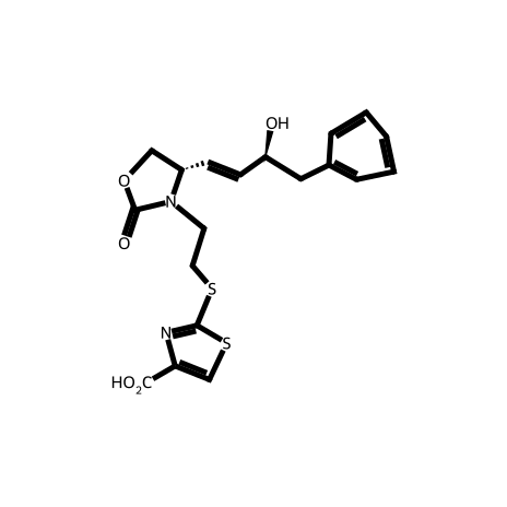 O=C(O)c1csc(SCCN2C(=O)OC[C@@H]2/C=C/[C@@H](O)Cc2ccccc2)n1